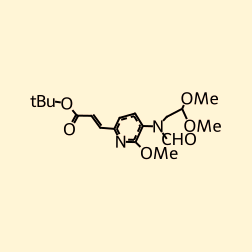 COc1nc(/C=C/C(=O)OC(C)(C)C)ccc1N(C=O)CC(OC)OC